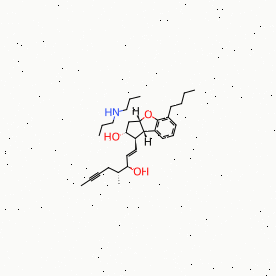 CC#CC[C@@H](C)[C@H](O)C=C[C@@H]1[C@H]2c3cccc(CCCC)c3O[C@H]2C[C@H]1O.CCCNCCC